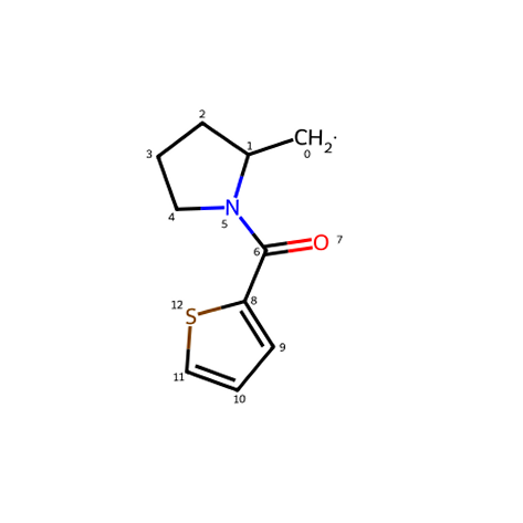 [CH2]C1CCCN1C(=O)c1cccs1